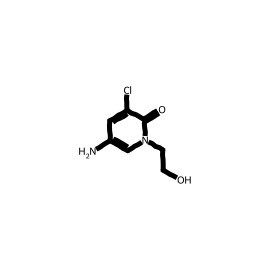 Nc1cc(Cl)c(=O)n(CCO)c1